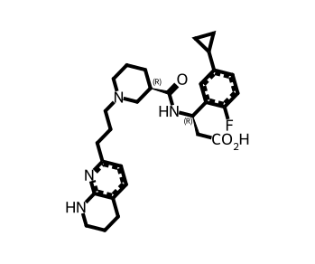 O=C(O)C[C@@H](NC(=O)[C@@H]1CCCN(CCCc2ccc3c(n2)NCCC3)C1)c1cc(C2CC2)ccc1F